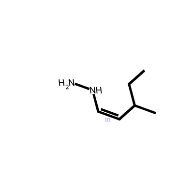 CCC(C)/C=C\NN